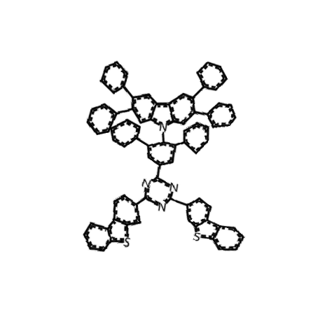 c1ccc(-c2cc3c4cc(-c5ccccc5)c(-c5ccccc5)cc4n(-c4c(-c5ccccc5)cc(-c5nc(-c6ccc7c(c6)sc6ccccc67)nc(-c6ccc7c(c6)sc6ccccc67)n5)cc4-c4ccccc4)c3cc2-c2ccccc2)cc1